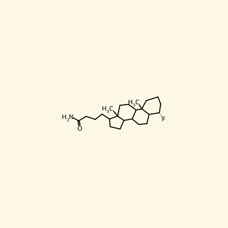 CC12CCC3C(CCC4[C@@H](F)CCCC34C)C1CCC2CCCC(N)=O